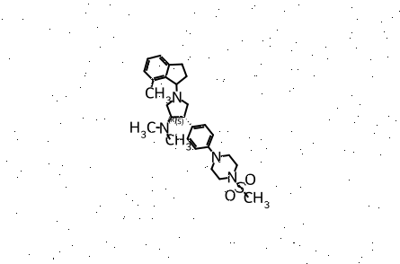 Cc1cccc2c1C(N1C[C@H](c3ccc(N4CCN(S(C)(=O)=O)CC4)cc3)[C@@H](N(C)C)C1)CC2